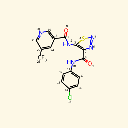 O=C(Nc1snnc1C(=O)Nc1ccc(Cl)cc1)c1cncc(C(F)(F)F)c1